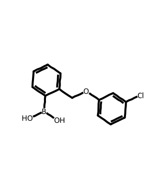 OB(O)c1ccccc1COc1cccc(Cl)c1